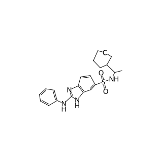 CC(NS(=O)(=O)c1ccc2nc(Nc3ccccc3)[nH]c2c1)C1CCCCC1